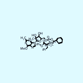 CCOC(=O)[C@@H](OP(=O)(N[C@@H](CC(C)C)C(=O)OC(C)C)OC[C@H]1O[C@@H](n2cnc3c(OC)nc(C)nc32)[C@@](C)(O)C1O)c1ccccc1